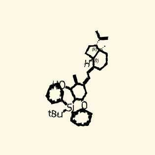 C=C1C(=CC=C2CCC[C@]3(C)[C@@H](C(=C)C)CC[C@@H]23)CC(=O)C([Si](c2ccccc2)(c2ccccc2)C(C)(C)C)C1O